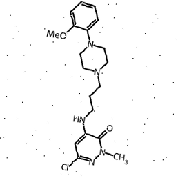 COc1ccccc1N1CCN(CCCNc2cc(Cl)nn(C)c2=O)CC1